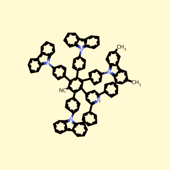 Cc1ccc2c(c1)c1cc(C)ccc1n2-c1ccc(-c2c(-c3ccc(-n4c5ccccc5c5ccccc54)cc3)c(-c3ccc(-n4c5ccccc5c5ccccc54)cc3)c(C#N)c(-c3ccc(-n4c5ccccc5c5ccccc54)cc3)c2-c2cc(-c3ccccc3)nc(-c3ccccc3)c2)cc1